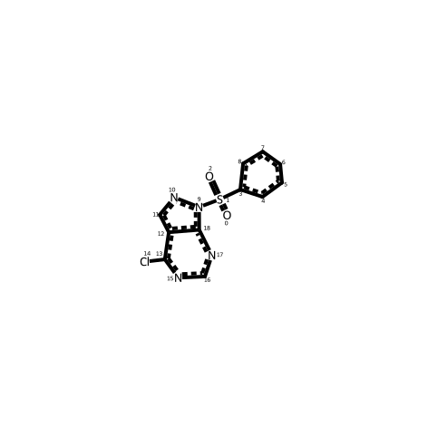 O=S(=O)(c1ccccc1)n1ncc2c(Cl)ncnc21